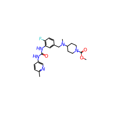 COC(=O)N1CCC(N(C)Cc2ccc(F)c(NC(=O)Nc3ccc(C)nc3)c2)CC1